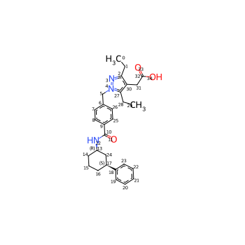 CCc1nn(Cc2ccc(C(=O)N[C@@H]3CCC[C@H](c4ccccc4)C3)cc2)c(CC)c1CC(=O)O